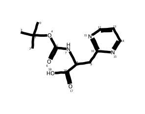 CC(C)(C)OC(=O)NC(Cc1ncccn1)C(=O)O